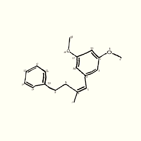 COc1cc(C=C(C)CCc2ccccc2)cc(OC)c1